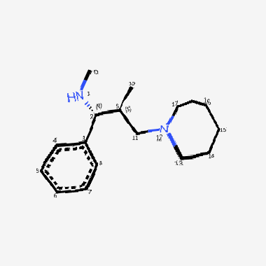 CN[C@@H](c1ccccc1)[C@@H](C)CN1CCCCC1